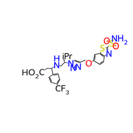 CC(C)[C@H](CNC(CC(=O)O)c1ccc(C(F)(F)F)cc1)n1cc(COc2ccc3nc(S(N)(=O)=O)sc3c2)nn1